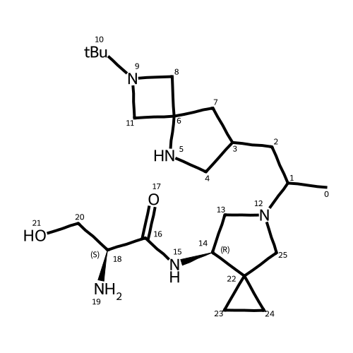 CC(CC1CNC2(C1)CN(C(C)(C)C)C2)N1C[C@H](NC(=O)[C@@H](N)CO)C2(CC2)C1